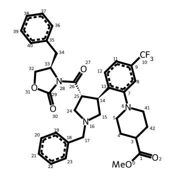 COC(=O)C1CCN(c2cc(C(F)(F)F)ccc2[C@H]2CN(Cc3ccccc3)C[C@@H]2C(=O)N2C(=O)OC[C@H]2Cc2ccccc2)CC1